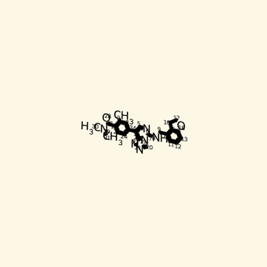 Cc1cc(-c2cnc(NCc3cccc4c3CCO4)n3cnnc23)ccc1C(=O)N(C)C